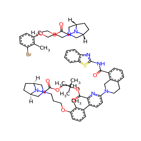 CCOC(=O)CN1[C@@H]2CC[C@H]1CN(CCCOc1cccc(-c3ccc(N4CCc5cccc(C(=O)Nc6nc7ccccc7s6)c5C4)nc3C(=O)OC(C)(C)C)c1C)C2.CCOC(=O)CN1[C@@H]2CC[C@H]1CN(CCCOc1cccc(Br)c1C)C2